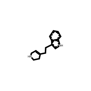 C1=C(CCc2c[nH]c3ccccc23)CCNC1